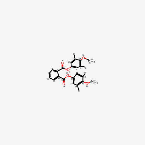 Cc1cc(OC(=O)c2ccccc2C(=O)Oc2cc(C)c(O[N+](=O)[O-])c(C)c2)cc(C)c1O[N+](=O)[O-]